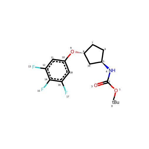 CC(C)(C)OC(=O)N[C@@H]1CC[C@@H](Oc2cc(F)c(F)c(F)c2)C1